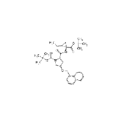 CC[C@H]1C[C@]1(NC(=O)[C@H]1C[C@@H](OCc2cccc3ccccc23)CN1C(=O)OC(C)(C)C)C(=O)OC(C)(C)C